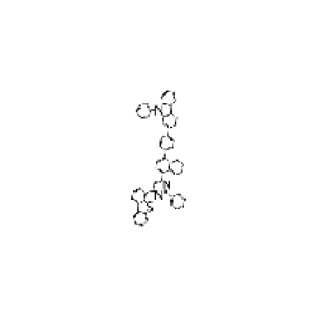 C1=CC2c3ccc(-c4ccc(-c5ccc(-c6cc(-c7cccc8c7sc7ccccc78)nc(-c7ccccc7)n6)c6ccccc56)cc4)cc3N(c3ccccc3)C2C=C1